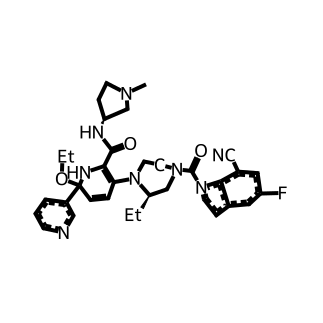 CCOC1(c2cccnc2)C=CC(N2CCN(C(=O)n3ccc4cc(F)cc(C#N)c43)C[C@H]2CC)=C(C(=O)N[C@@H]2CCN(C)C2)N1